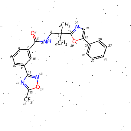 CC(C)(CNC(=O)c1cccc(-c2noc(C(F)(F)F)n2)c1)c1ncc(-c2ccccc2)o1